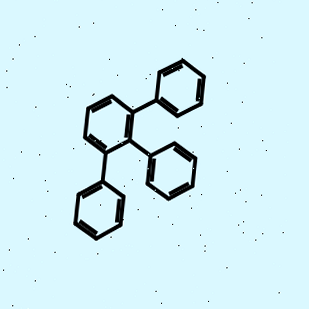 c1ccc(-c2cccc(-c3ccccc3)c2-c2ccccc2)cc1